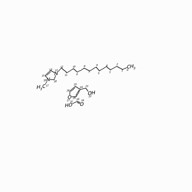 CCCCCCCCCCCCCN1C=CN(C)C1.O=CO.OCc1ccoc1